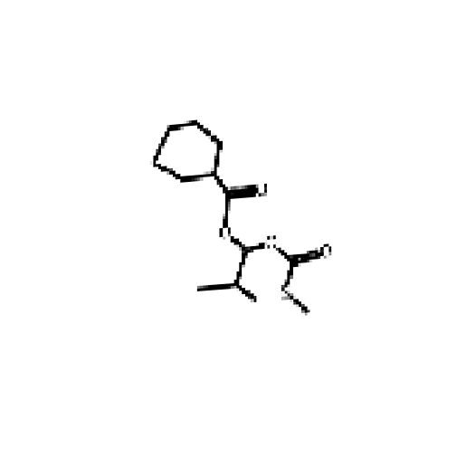 CSC(=O)OC(OC(=O)C1CCCCC1)C(C)C